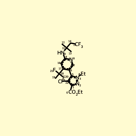 CCOC(=O)c1nn(CC)c(-c2cnc(NC(C)(C)CC(F)(F)F)cc2C(C)(F)F)c1Cl